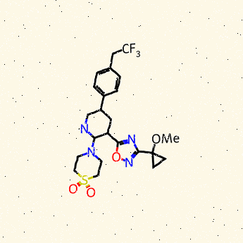 COC1(c2noc(C3CC(c4ccc(CC(F)(F)F)cc4)C[N]C3N3CCS(=O)(=O)CC3)n2)CC1